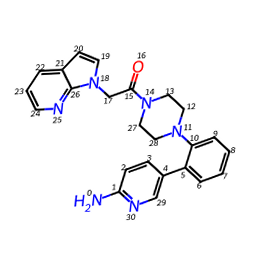 Nc1ccc(-c2ccccc2N2CCN(C(=O)Cn3ccc4cccnc43)CC2)cn1